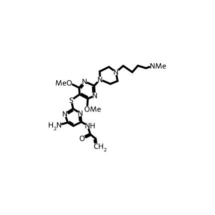 C=CC(=O)Nc1cc(N)nc(Sc2c(OC)nc(N3CCN(CCCCNC)CC3)nc2OC)n1